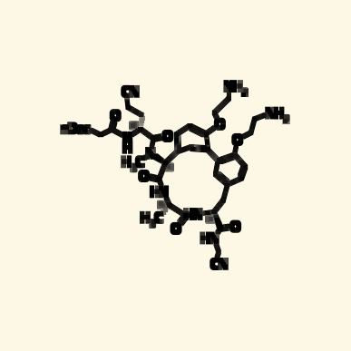 CCCCCCCCCCCC(=O)N[C@H](CCC#N)C(=O)N(C)[C@@H]1C(=O)N[C@@H](C)C(=O)N[C@H](C(=O)NCC#N)Cc2ccc(OCCN)c(c2)-c2cc1ccc2OCCN